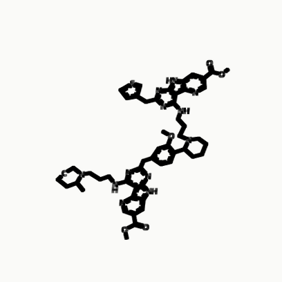 COC(=O)c1cnc2c(c1)[nH]c1nc(Cc3ccc(C4CCCCN4CCCNc4nc(Cc5ccsc5)nc5[nH]c6cc(C(=O)OC)cnc6c45)c(OC)c3)nc(NCCCN3CCCCC3C)c12